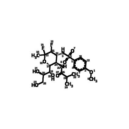 COc1ccc(S(=O)(=O)N[C@H]2C(F)C(C)(F)O[C@@H]([C@H](O)[C@H](O)CO)[C@@H]2NC(=O)C(C)C)cc1